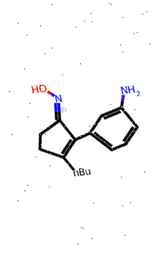 CCCCC1=C(c2cccc(N)c2)/C(=N/O)CC1